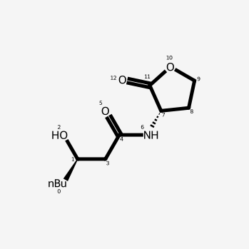 CCCC[C@@H](O)CC(=O)N[C@H]1CCOC1=O